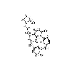 CC(=O)Nc1cccc(Nc2nc(Nc3cccc(OCCN4CCCC4=O)c3)ncc2F)c1